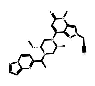 CC[C@@H]1CN(c2cc(=O)n(C)c3cn(CC#N)nc23)[C@@H](C)CN1C(C)c1ccn2nccc2n1